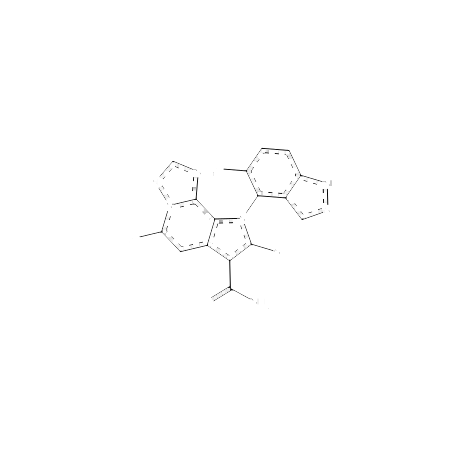 Cc1ccc2[nH]ncc2c1-n1c(N)c(C(N)=O)c2cc(C)n3ncnc3c21